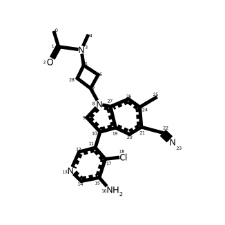 CC(=O)N(C)C1CC(n2cc(-c3cncc(N)c3Cl)c3cc(C#N)c(C)cc32)C1